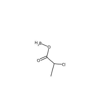 BOC(=O)C(C)Cl